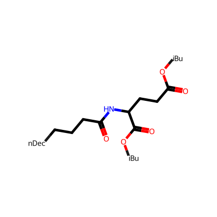 CCCCCCCCCCCCCC(=O)NC(CCC(=O)OC(C)CC)C(=O)OC(C)CC